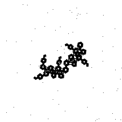 C=Cc1ccc(-c2cccc(B3c4cc(-c5ccc(C=C)cc5)ccc4N4c5cccc6c5B(c5cccc3c54)c3cc(-c4ccc(C=C)cc4)cc4c3N6c3ccccc3B4c3cccc(-c4cccc(B5c6ccccc6N6c7cc(-c8ccc(C=C)cc8)cc8c7B(c7cccc5c76)c5cc(-c6ccc(C=C)cc6)cc6c5N8c5ccccc5B6c5ccccc5)c4)c3)c2)cc1